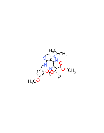 CCOC(=O)c1c(-c2nn(C(C)C)c3ccnc(NCc4ccc(OC)cc4OC)c23)noc1C1CC1